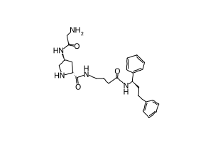 NCC(=O)N[C@@H]1CN[C@@H](C(=O)NCCCC(=O)N[C@H](CCc2ccccc2)c2ccccc2)C1